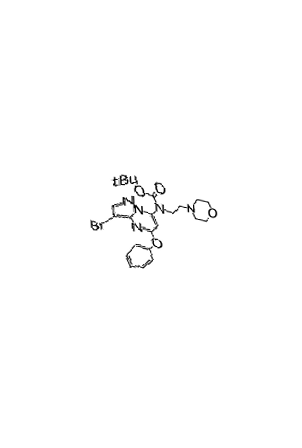 CC(C)(C)OC(=O)N(CCN1CCOCC1)c1cc(Oc2ccccc2)nc2c(Br)cnn12